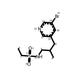 CCS(=O)(=O)NCC(C)Cc1cncc(Br)c1